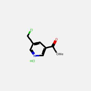 COC(=O)c1cncc(CCl)c1.Cl